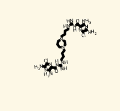 N=C(NCCCCN1CCCN(CCCCNC(=N)NC(=O)c2nc(Cl)c(N)nc2N)CC1)NC(=O)c1nc(Cl)c(N)nc1N